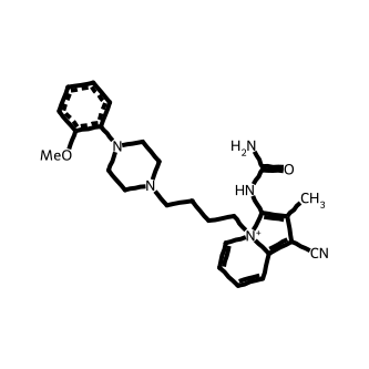 COc1ccccc1N1CCN(CCCC[N+]23C=CC=CC2=C(C#N)C(C)=C3NC(N)=O)CC1